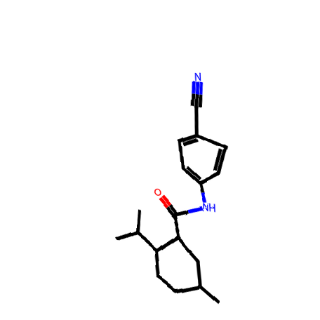 CC1CCC(C(C)C)C(C(=O)Nc2ccc(C#N)cc2)C1